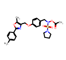 CC(=O)ON(Cc1ccc(OCc2nc(-c3ccc(C)cc3)oc2C)cc1)S(=O)(=O)N1CCCC1